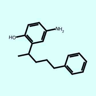 CC(CCCc1ccccc1)c1cc(N)ccc1O